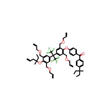 C=CCOCc1cc(C(c2cc(COCC=C)c(OC(C)(CC)CC=C)c(COCC=C)c2)(C(F)(F)F)C(F)(F)F)cc(COCC=C)c1Oc1ccc(C(=O)c2ccc(C(C)(CC)CC)cc2)cc1